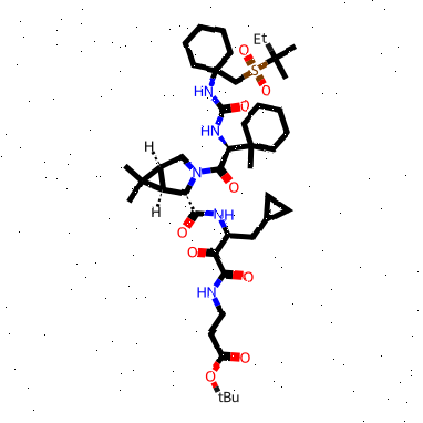 CCC(C)(C)S(=O)(=O)CC1(NC(=O)N[C@H](C(=O)N2C[C@H]3[C@@H]([C@H]2C(=O)NC(CC2CC2)C(=O)C(=O)NCCC(=O)OC(C)(C)C)C3(C)C)C2(C)CCCCC2)CCCCC1